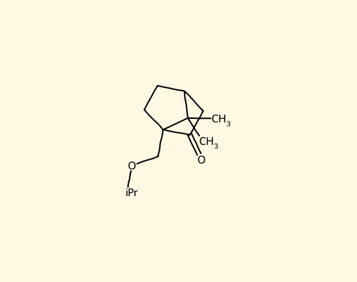 CC(C)OCC12CCC(CC1=O)C2(C)C